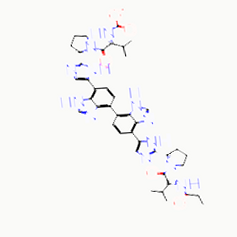 CCC(=O)N[C@H](C(=O)N1CCC[C@H]1c1ncc(-c2ccc(-c3ccc(-c4cnc([C@@H]5CCCN5C(=O)[C@@H](NC(=O)OC)C(C)C)[nH]4)c4[nH]cnc34)c3[nH]cnc23)[nH]1)C(C)C